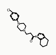 O=C(CCN1CCN(c2ccc(Cl)cc2)CC1)n1ccc2c1CCCC2